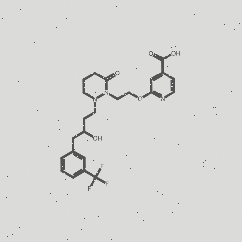 O=C(O)c1ccnc(OCCN2C(=O)CCCN2CCC(O)Cc2cccc(C(F)(F)F)c2)c1